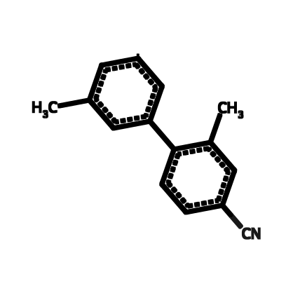 Cc1c[c]cc(-c2ccc(C#N)cc2C)c1